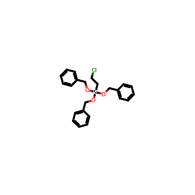 ClCC[Si](OCc1ccccc1)(OCc1ccccc1)OCc1ccccc1